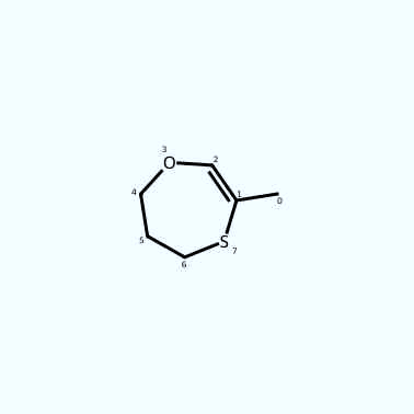 CC1=COCCCS1